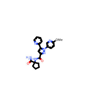 COc1ccc(-n2nc(C(=O)NC3(C(N)=O)CCCC3)cc2-c2ccccn2)cn1